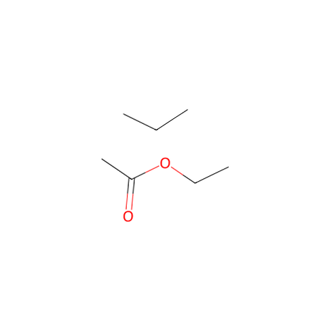 CCC.CCOC(C)=O